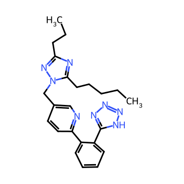 CCCCCc1nc(CCC)nn1Cc1ccc(-c2ccccc2-c2nnn[nH]2)nc1